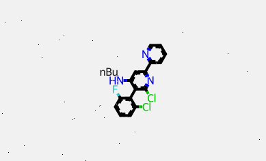 CCCCNc1cc(-c2ccccn2)nc(Cl)c1-c1c(F)cccc1Cl